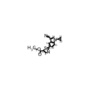 CCOC(=O)c1cnc(-c2ccc3c(c2)c(C#N)cn3C2CC2)s1